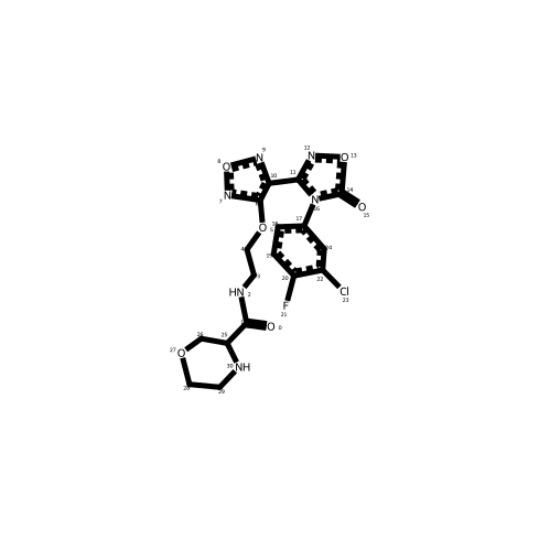 O=C(NCCOc1nonc1-c1noc(=O)n1-c1ccc(F)c(Cl)c1)C1COCCN1